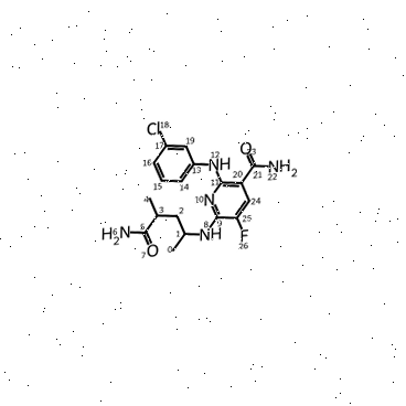 CC(CC(C)C(N)=O)Nc1nc(Nc2cccc(Cl)c2)c(C(N)=O)cc1F